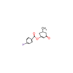 CC1CC(=O)C=C(OC(=O)c2ccc(I)cc2)C1